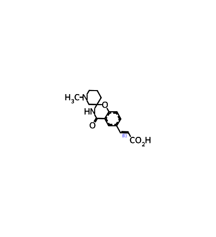 CN1CCCC2(C1)NC(=O)c1cc(/C=C/C(=O)O)ccc1O2